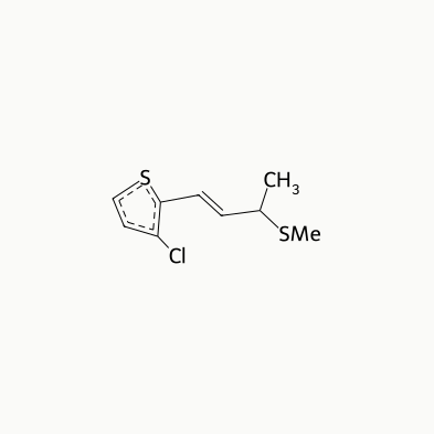 CSC(C)/C=C/c1sccc1Cl